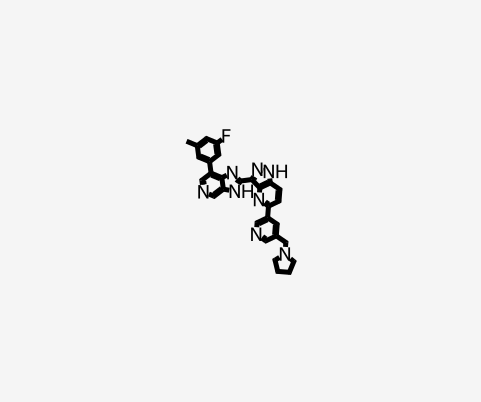 Cc1cc(F)cc(-c2cncc3[nH]c(-c4n[nH]c5ccc(-c6cncc(CN7CCCC7)c6)nc45)nc23)c1